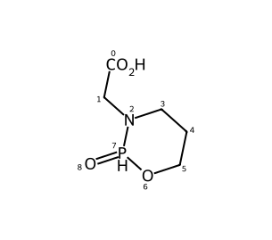 O=C(O)CN1CCCO[PH]1=O